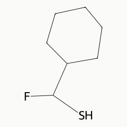 FC(S)C1CCCCC1